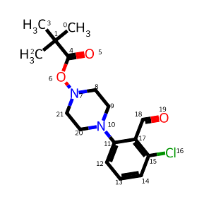 CC(C)(C)C(=O)ON1CCN(c2cccc(Cl)c2C=O)CC1